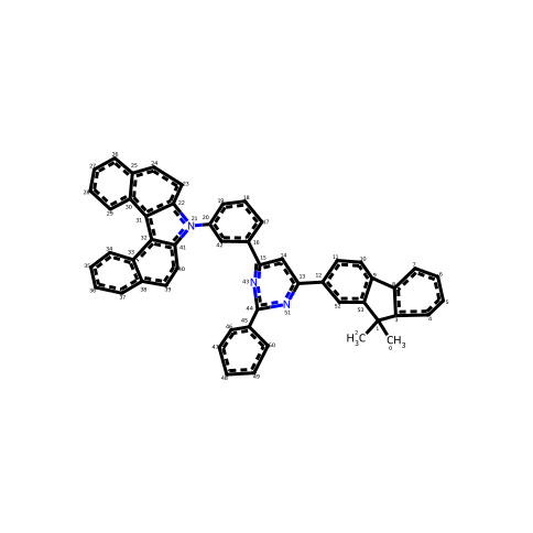 CC1(C)c2ccccc2-c2ccc(-c3cc(-c4cccc(-n5c6ccc7ccccc7c6c6c7ccccc7ccc65)c4)nc(-c4ccccc4)n3)cc21